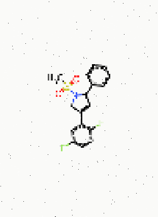 CS(=O)(=O)N1CC(c2cc(F)ccc2F)=CC1c1ccccc1